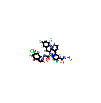 NC(=O)c1cc(-c2cccnc2C(Cc2cc(F)cc(F)c2)NC(=O)Cn2ccc3cc(F)c(Cl)cc32)ccc1F